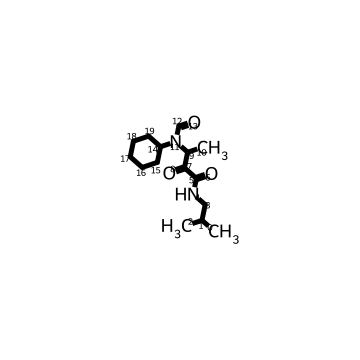 CC(C)CNC(=O)C(=O)C(C)N(C=O)C1CCCCC1